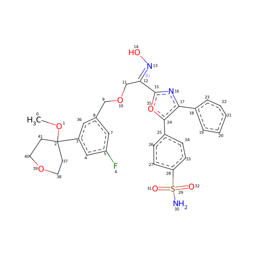 COC1(c2cc(F)cc(COC/C(=N\O)c3nc(-c4ccccc4)c(-c4ccc(S(N)(=O)=O)cc4)o3)c2)CCOCC1